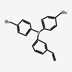 C=Cc1cccc(N(c2ccc(C(C)CC)cc2)c2ccc(C(C)CC)cc2)c1